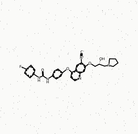 [C-]#[N+]c1cc2c(Oc3ccc(NC(=O)Nc4ccc(F)cc4)cc3)ccnc2cc1OC[C@H](O)CN1CCCC1